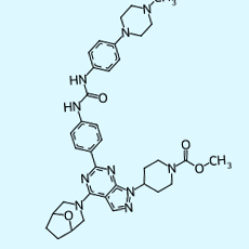 COC(=O)N1CCC(n2ncc3c(N4CC5CCC(C4)O5)nc(-c4ccc(NC(=O)Nc5ccc(N6CCN(C)CC6)cc5)cc4)nc32)CC1